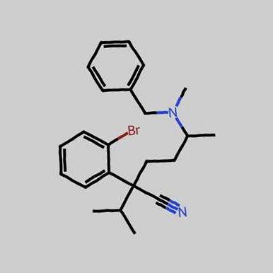 CC(CCC(C#N)(c1ccccc1Br)C(C)C)N(C)Cc1ccccc1